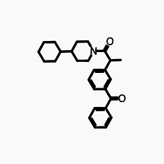 CC(C(=O)N1CCC(C2CCCCC2)CC1)c1cccc(C(=O)c2ccccc2)c1